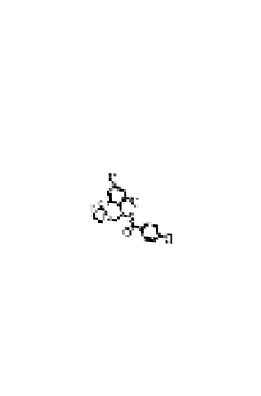 O=C(SC(Cn1ccnc1)c1c(Cl)cc(Cl)cc1Cl)c1ccc(Cl)cc1